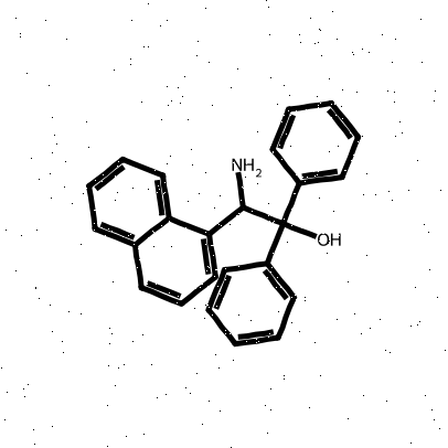 NC(c1cccc2ccccc12)C(O)(c1ccccc1)c1ccccc1